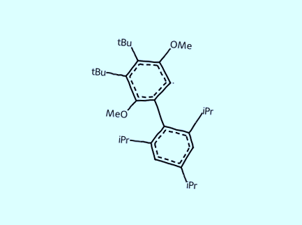 COc1[c]c(-c2c(C(C)C)cc(C(C)C)cc2C(C)C)c(OC)c(C(C)(C)C)c1C(C)(C)C